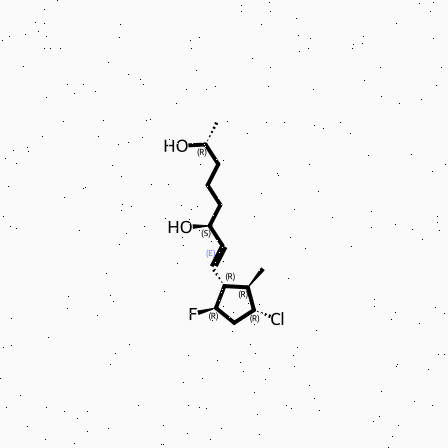 C[C@@H]1[C@@H](/C=C/[C@@H](O)CCC[C@@H](C)O)[C@H](F)C[C@H]1Cl